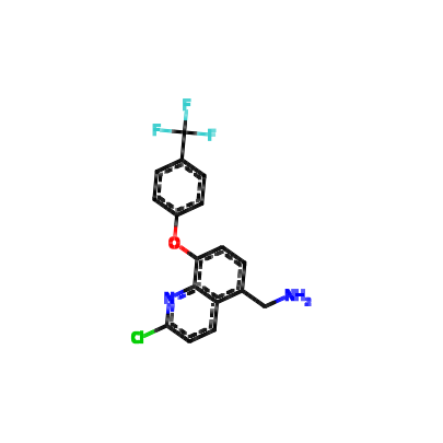 NCc1ccc(Oc2ccc(C(F)(F)F)cc2)c2nc(Cl)ccc12